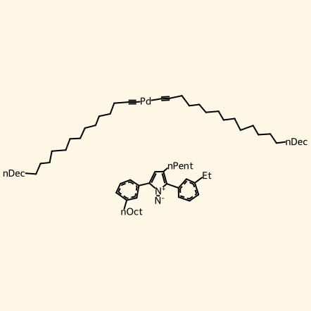 CCCCCCCCCCCCCCCCCCCCCCC#[C][Pd][C]#CCCCCCCCCCCCCCCCCCCCCCC.CCCCCCCCc1cccc(C2=CC(CCCCC)=C(c3cccc(CC)c3)[N+]2=[N-])c1